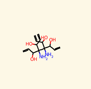 C=CC(O)C(N)(C(O)C=C)C(N)(C(O)C=C)C(O)C=C